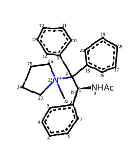 CC(=O)N[C@@H](c1ccccc1)C(c1ccccc1)(c1ccccc1)[N+]1(C)CCCC1